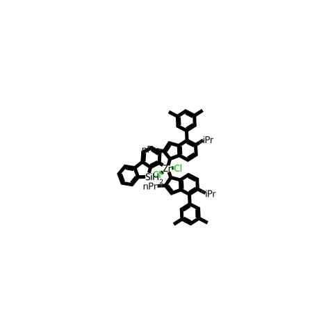 CCCC1=Cc2c(ccc(C(C)C)c2-c2cc(C)cc(C)c2)[CH]1[Zr]([Cl])([Cl])([c]1cccc2c1[SiH2]c1ccccc1-2)[CH]1C(CCC)=Cc2c1ccc(C(C)C)c2-c1cc(C)cc(C)c1